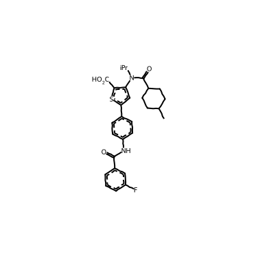 CC1CCC(C(=O)N(c2cc(-c3ccc(NC(=O)c4cccc(F)c4)cc3)sc2C(=O)O)C(C)C)CC1